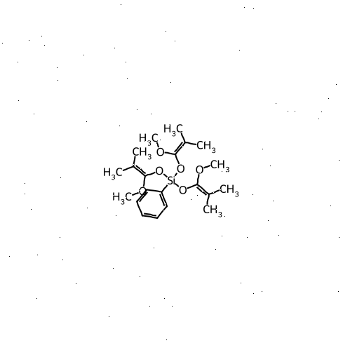 COC(O[Si](OC(OC)=C(C)C)(OC(OC)=C(C)C)c1ccccc1)=C(C)C